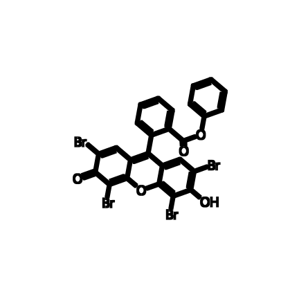 O=C(Oc1ccccc1)c1ccccc1-c1c2cc(Br)c(=O)c(Br)c-2oc2c(Br)c(O)c(Br)cc12